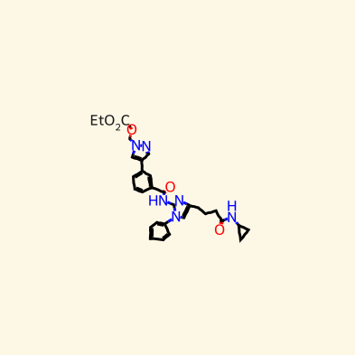 CCOC(=O)OCn1cc(-c2cccc(C(=O)Nc3nc(CCCC(=O)NC4CC4)cn3-c3ccccc3)c2)cn1